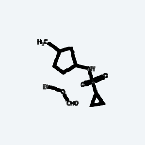 CC1CCC(NS(=O)(=O)C2CC2)C1.CCOC=O